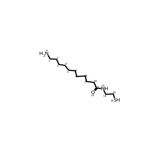 NCCCCCCCCCCC(=O)NCCS